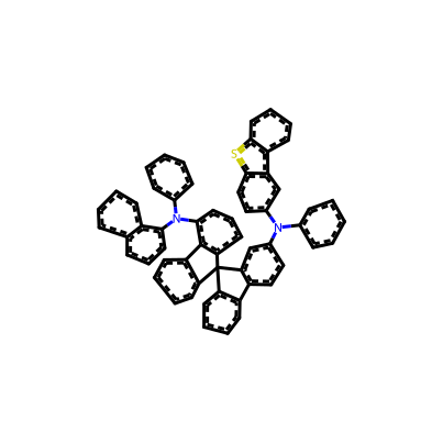 c1ccc(N(c2ccc3c(c2)C2(c4ccccc4-3)c3ccccc3-c3c(N(c4ccccc4)c4cccc5ccccc45)cccc32)c2ccc3sc4ccccc4c3c2)cc1